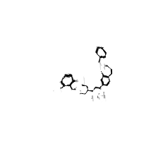 Cl.Cl.O=C(CCC1CCN(Cc2c(Cl)cccc2Cl)CC1)c1ccc2c(c1)CN(Cc1ccccc1)CCC2